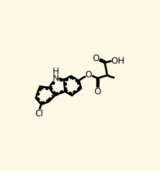 CC(C(=O)O)C(=O)Oc1ccc2c(c1)[nH]c1ccc(Cl)cc12